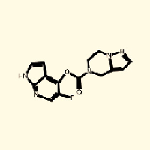 O=C(Oc1c(F)cnc2[nH]ccc12)N1CCn2nccc2C1